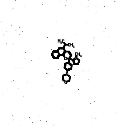 CC(C)c1cc2ccccc2c2c1C=CC(C1=CCCN1C)(c1ccc(N3CCOCC3)cc1)O2